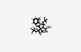 CC(C)(C)CC(C)(C)C(C(O)=S)C(C(O)=S)(c1nc2c(F)cccc2s1)C(C)(C)CC(C)(C)C